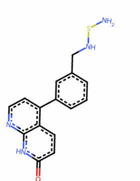 NSNCc1cccc(-c2ccnc3[nH]c(=O)ccc23)c1